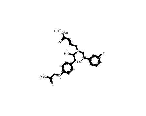 COC(=O)/C=C/CN(C[C@@H](O)c1cccc(Cl)c1)C(C)Cc1ccc(OCC(=O)OC)cc1.Cl